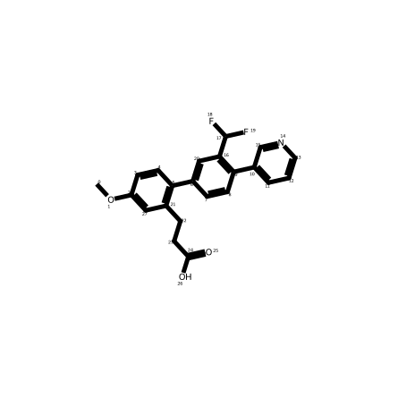 COc1ccc(-c2ccc(-c3cccnc3)c(C(F)F)c2)c(CCC(=O)O)c1